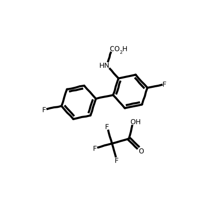 O=C(O)C(F)(F)F.O=C(O)Nc1cc(F)ccc1-c1ccc(F)cc1